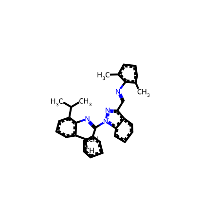 Cc1cccc(C)c1/N=C/c1nn(/C(=N/c2c(C(C)C)cccc2C(C)C)c2ccccc2)c2ccccc12